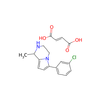 CC1NCCn2c(-c3cccc(Cl)c3)ccc21.O=C(O)C=CC(=O)O